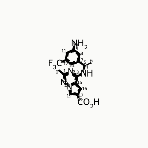 Cc1nc(N[C@H](C)c2cc(N)cc(C(F)(F)F)c2)c2cc(C(=O)O)cn2n1